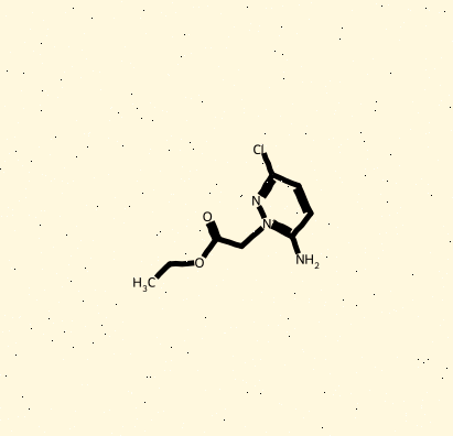 CCOC(=O)C[n+]1nc(Cl)ccc1N